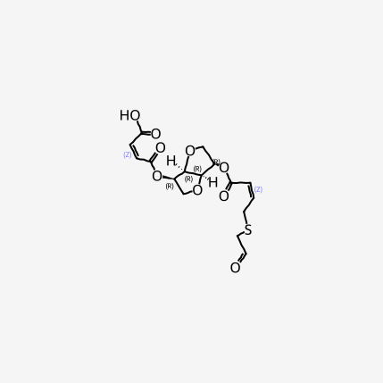 O=CCSC/C=C\C(=O)O[C@@H]1CO[C@H]2[C@@H]1OC[C@H]2OC(=O)/C=C\C(=O)O